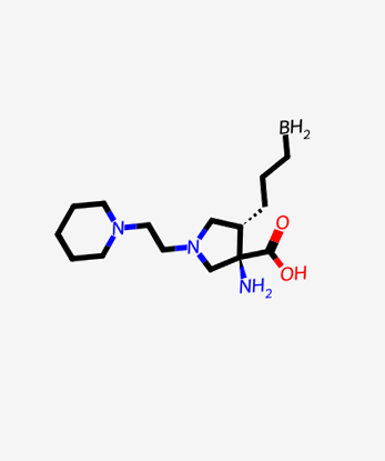 BCCC[C@H]1CN(CCN2CCCCC2)C[C@@]1(N)C(=O)O